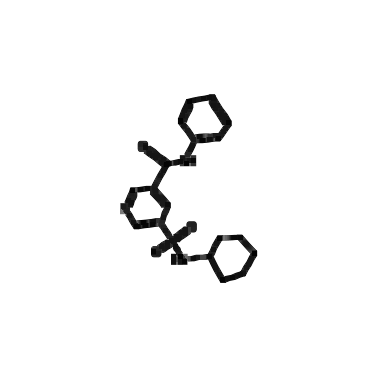 O=C(Nc1ccccc1)c1cncc(S(=O)(=O)NC2CCCCC2)c1